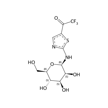 O=C(c1cnc(N[C@@H]2O[C@H](CO)[C@@H](O)[C@H](O)[C@@H]2O)s1)C(F)(F)F